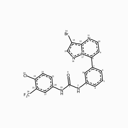 O=C(Nc1cccc(-c2ccnc3c(Br)cnn23)c1)Nc1ccc(Cl)c(C(F)(F)F)c1